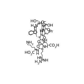 CC(C)C[C@H](NC(=O)[C@@H](NC(=O)[C@@H](N)CO)[C@@H](C)O)C(=O)N[C@@H](Cc1c[nH]c2ccccc12)C(=O)N[C@@H](CCC(=O)O)C(=O)N[C@@H](CCCNC(=N)N)C(=O)N[C@@H](CCCCN)C(=O)O